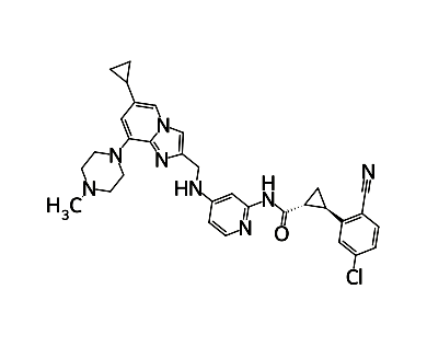 CN1CCN(c2cc(C3CC3)cn3cc(CNc4ccnc(NC(=O)[C@@H]5C[C@H]5c5cc(Cl)ccc5C#N)c4)nc23)CC1